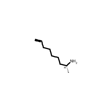 C=CCCCCC[C@@H](C)N